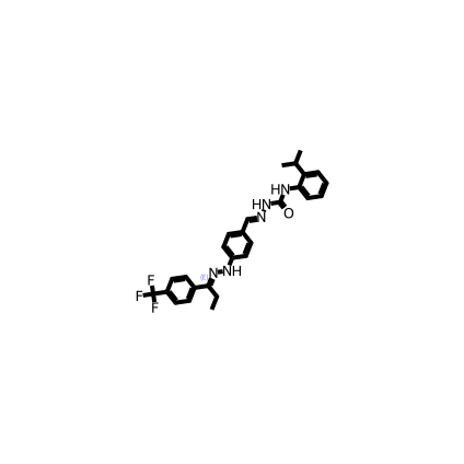 CC/C(=N\Nc1ccc(C=NNC(=O)Nc2ccccc2C(C)C)cc1)c1ccc(C(F)(F)F)cc1